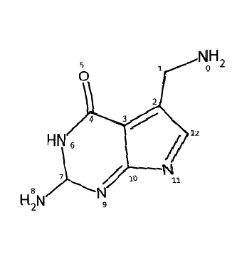 NCC1=C2C(=O)NC(N)N=C2N=C1